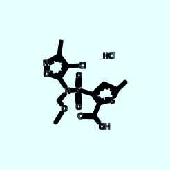 COCN(c1onc(C)c1Cl)S(=O)(=O)c1cc(C)sc1C(=O)O.Cl